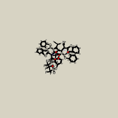 CC(C)c1c2/c(=C(\C#N)c3nc4ccccc4o3)n(B3Oc4ccccc4O3)c(-c3ccc(OS(=O)(=O)C(F)(F)C(F)(F)C(F)(F)S(=O)(=O)NS(=O)(=O)C(F)(F)F)cc3)c2/c(=C(\C#N)c2nc3ccccc3o2)n1B1Oc2ccccc2O1